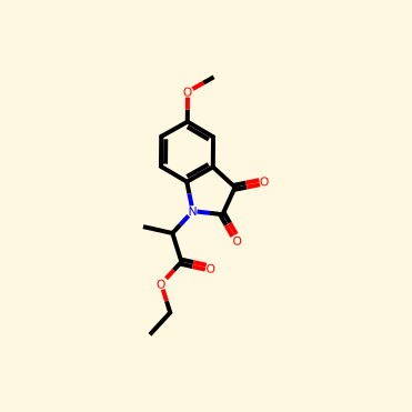 CCOC(=O)C(C)N1C(=O)C(=O)c2cc(OC)ccc21